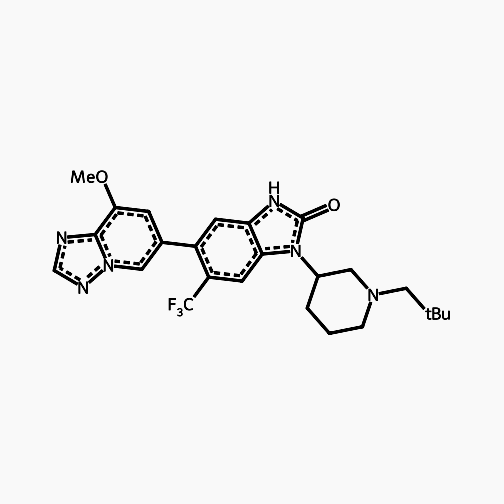 COc1cc(-c2cc3[nH]c(=O)n(C4CCCN(CC(C)(C)C)C4)c3cc2C(F)(F)F)cn2ncnc12